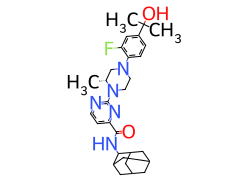 C[C@@H]1CN(c2ccc(C(C)(C)O)cc2F)CCN1c1nccc(C(=O)NC2C3CC4CC(C3)CC2C4)n1